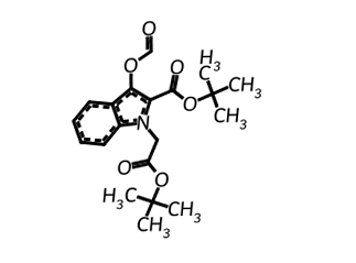 CC(C)(C)OC(=O)Cn1c(C(=O)OC(C)(C)C)c(OC=O)c2ccccc21